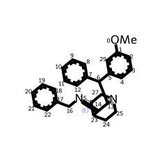 COc1cccc(C(c2ccccc2)C2/C(=N/Cc3ccccc3)C3CCN2CC3)c1